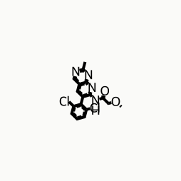 COCC(=O)Nc1nc2nc(C)ncc2cc1-c1c(Cl)cccc1Cl